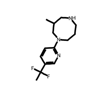 CC1CNCCCN(c2ccc(C(C)(F)F)cn2)C1